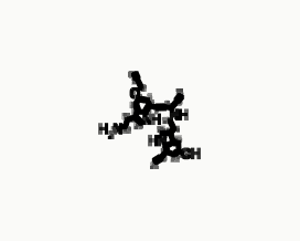 C#CCOc1cc(C#CC(C#C)NCCc2c[nH]c3c(C#C)cc(O)cc23)c2[nH]cc(CCN)c2c1